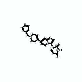 O=c1ccn(-c2cnc3cc(C4=CCN(Cc5ccccc5)CC4)ccn23)c(=O)[nH]1